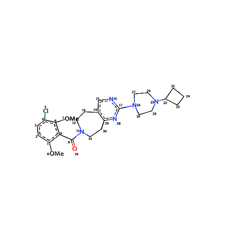 COc1ccc(Cl)c(OC)c1C(=O)N1CCc2cnc(N3CCN(C4CCC4)CC3)nc2CC1